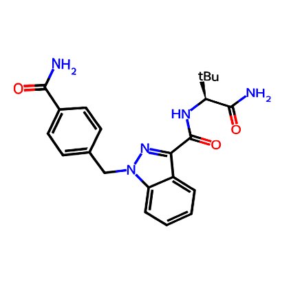 CC(C)(C)[C@H](NC(=O)c1nn(Cc2ccc(C(N)=O)cc2)c2ccccc12)C(N)=O